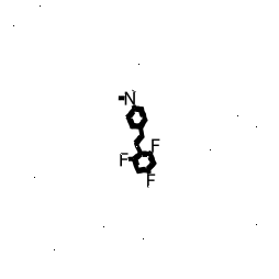 CN(C)c1ccc(/C=C/c2c(F)cc(F)cc2F)cc1